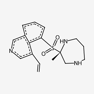 C=Cc1cncc2cccc(S(=O)(=O)[C@@]3(C)CNCCCN3)c12